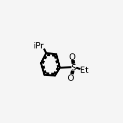 CCS(=O)(=O)c1cccc(C(C)C)c1